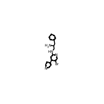 NC(CNc1cc(-c2ccncc2)c(Br)cn1)Cc1ccccc1